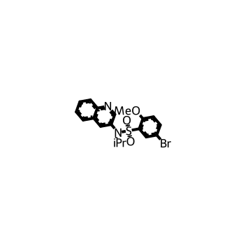 COc1ccc(Br)cc1S(=O)(=O)N(c1cnc2ccccc2c1)C(C)C